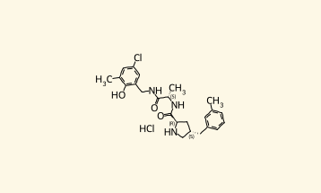 Cc1cccc(C[C@@H]2CN[C@@H](C(=O)N[C@@H](C)C(=O)NCc3cc(Cl)cc(C)c3O)C2)c1.Cl